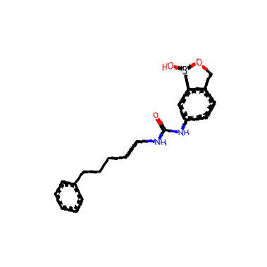 O=C(NCCCCCc1ccccc1)Nc1ccc2c(c1)B(O)OC2